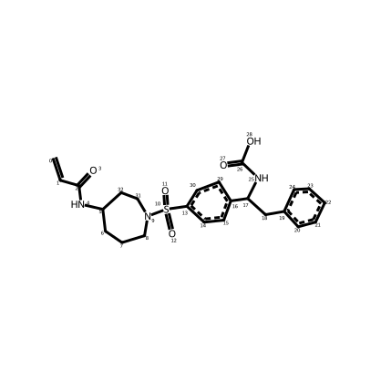 C=CC(=O)NC1CCCN(S(=O)(=O)c2ccc(C(Cc3ccccc3)NC(=O)O)cc2)CC1